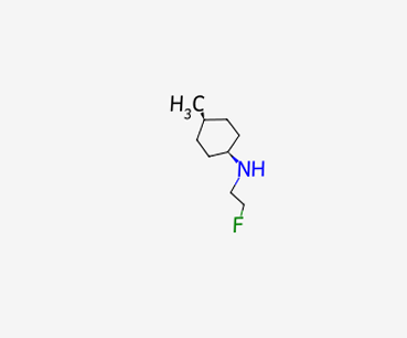 C[C@H]1CC[C@@H](NCCF)CC1